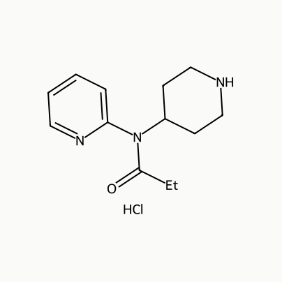 CCC(=O)N(c1ccccn1)C1CCNCC1.Cl